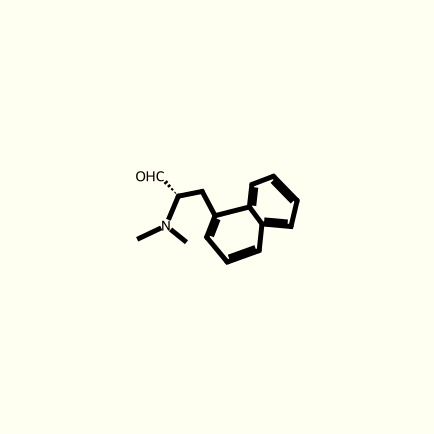 CN(C)[C@H](C=O)Cc1cccc2ccccc12